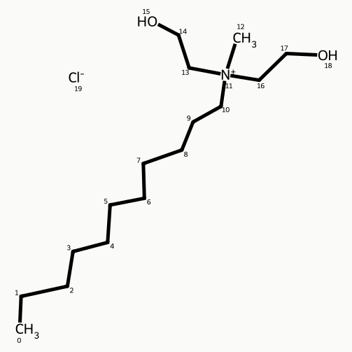 CCCCCCCCCCC[N+](C)(CCO)CCO.[Cl-]